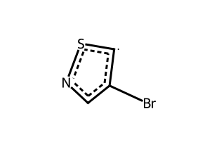 Brc1[c]snc1